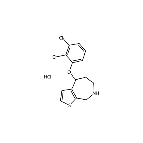 Cl.Clc1cccc(OC2CCNCc3sccc32)c1Cl